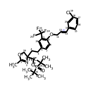 CC1=NC(CCc2ccc(OC/C=C/c3cccc(Cl)c3)c(C(F)(F)F)c2)(COP(=O)(C(C)(C)C)C(C)(C)C)CO1